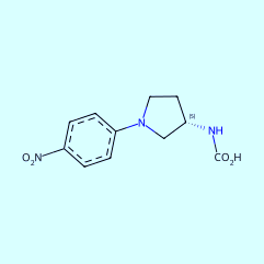 O=C(O)N[C@H]1CCN(c2ccc([N+](=O)[O-])cc2)C1